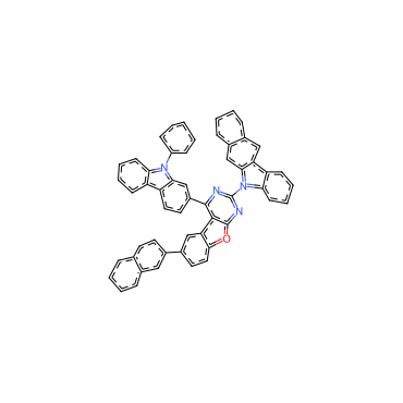 c1ccc(-n2c3ccccc3c3ccc(-c4nc(-n5c6ccccc6c6cc7ccccc7cc65)nc5oc6ccc(-c7ccc8ccccc8c7)cc6c45)cc32)cc1